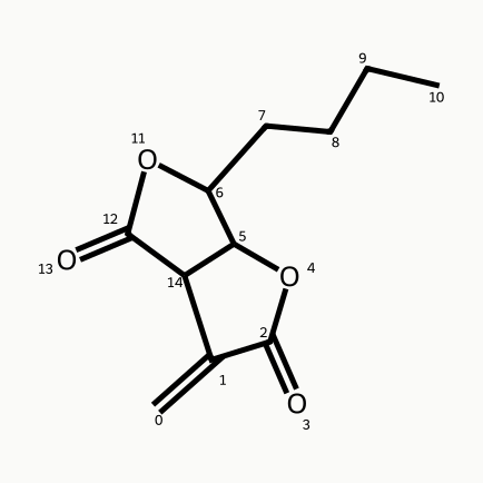 C=C1C(=O)OC2C(CCCC)OC(=O)C12